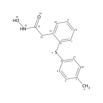 Cc1ccc(Sc2ccccc2CC(=O)NO)cc1